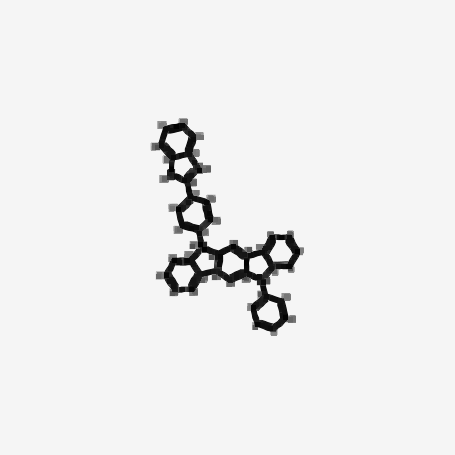 c1ccc(-n2c3ccccc3c3cc4c(cc32)c2ccccc2n4-c2ccc(-c3nc4ccccc4s3)cc2)cc1